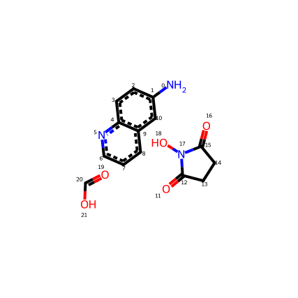 Nc1ccc2ncccc2c1.O=C1CCC(=O)N1O.O=CO